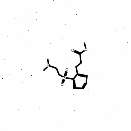 COC(=O)CCc1ccccc1S(=O)(=O)CCN(C)C